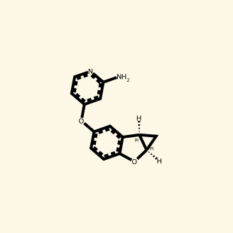 Nc1cc(Oc2ccc3c(c2)[C@H]2C[C@H]2O3)ccn1